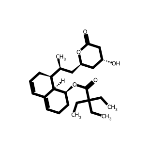 CCC(CC)(CC)C(=O)O[C@H]1CCC=C2C=CC[C@@H]([C@@H](C)C[C@@H]3C[C@@H](O)CC(=O)O3)[C@H]21